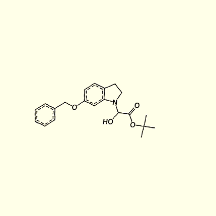 CC(C)(C)OC(=O)C(O)N1CCc2ccc(OCc3ccccc3)cc21